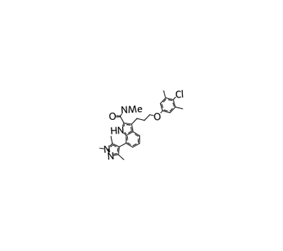 CNC(=O)c1[nH]c2c(-c3c(C)nn(C)c3C)cccc2c1CCCOc1cc(C)c(Cl)c(C)c1